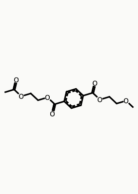 COCCOC(=O)c1ccc(C(=O)OCCOC(C)=O)cc1